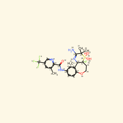 Cc1cc(C(F)(F)F)cnc1C(=O)Nc1ccc2c(c1)[C@@]1(C)N=C(N)C(C)(C)S(O)(O)[C@]1(F)CCO2